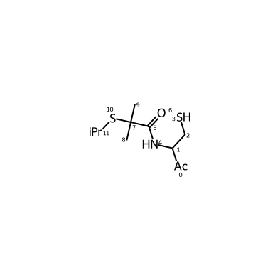 CC(=O)C(CS)NC(=O)C(C)(C)SC(C)C